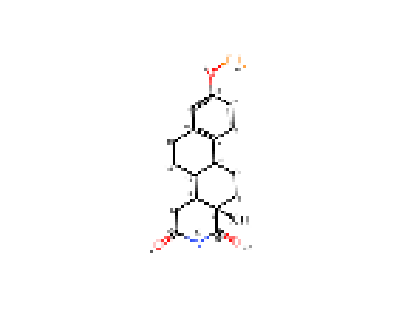 C[C@]12CCC3c4ccc(OP)cc4CCC3C1CC(=O)NC2=O